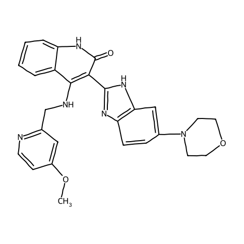 COc1ccnc(CNc2c(-c3nc4ccc(N5CCOCC5)cc4[nH]3)c(=O)[nH]c3ccccc23)c1